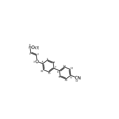 CCCCCCCC/C=C/Oc1ccc(-c2ccc(C#N)cc2)cc1